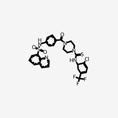 O=C(c1ccc(NS(=O)(=O)c2cccc3cccnc23)cc1)N1CCN(C(=S)NC2CC(C(F)(F)F)=CC=C2Cl)CC1